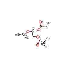 C=CC(=O)OCC(COC(=O)C(=C)C)O[SiH](C)CCC